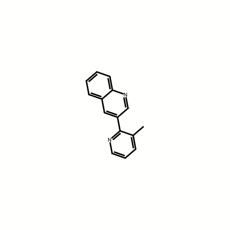 Cc1cccnc1-c1[c]nc2ccccc2c1